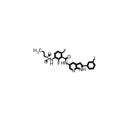 CCCS(=O)(=O)Nc1ccc(F)c(C(=O)Nc2cnc3[nH]c(-c4cccc(I)c4)cc3c2)c1F